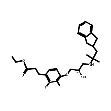 CCOC(=O)CCc1ccc(OC[C@H](O)CNC(C)(C)CC2Cc3ccccc3C2)c(F)c1F